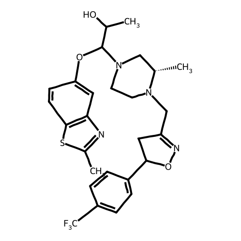 Cc1nc2cc(OC(C(C)O)N3CCN(CC4=NOC(c5ccc(C(F)(F)F)cc5)C4)[C@@H](C)C3)ccc2s1